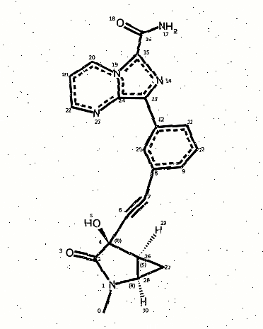 CN1C(=O)[C@](O)(C#Cc2cccc(-c3nc(C(N)=O)n4cccnc34)c2)[C@H]2C[C@H]21